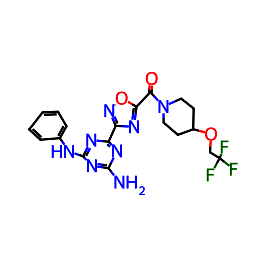 Nc1nc(Nc2ccccc2)nc(-c2noc(C(=O)N3CCC(OCC(F)(F)F)CC3)n2)n1